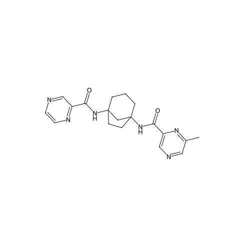 Cc1cncc(C(=O)NC23CCCC(NC(=O)c4cnccn4)(CC2)C3)n1